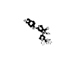 CC(C)n1c(=O)c2cnc(Nc3ccc4c(c3)CNC4)cc2n1-c1ccnc(C(C)(C)O)c1